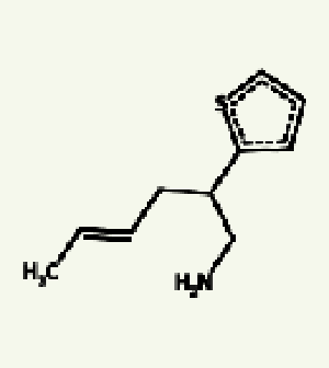 CC=CCC(CN)c1cccs1